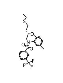 CCSCC[C@H]1CN(S(=O)(=O)c2cccc(C(F)(F)F)c2)c2cc(C)ccc2O1